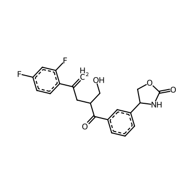 C=C(CC(CO)C(=O)c1cccc(C2COC(=O)N2)c1)c1ccc(F)cc1F